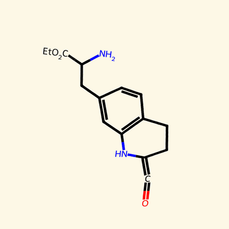 CCOC(=O)C(N)Cc1ccc2c(c1)NC(=C=O)CC2